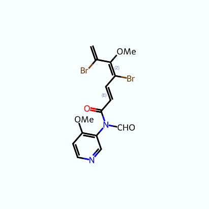 C=C(Br)/C(OC)=C(Br)\C=C\C(=O)N(C=O)c1cnccc1OC